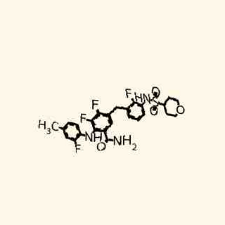 Cc1ccc(Nc2c(C(N)=O)cc(Cc3cccc(NS(=O)(=O)C4CCOCC4)c3F)c(F)c2F)c(F)c1